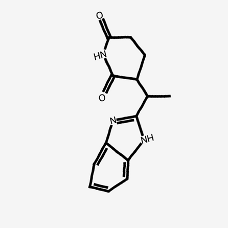 CC(c1nc2ccccc2[nH]1)C1CCC(=O)NC1=O